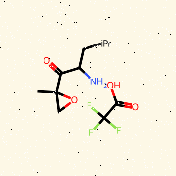 CC(C)CC(N)C(=O)C1(C)CO1.O=C(O)C(F)(F)F